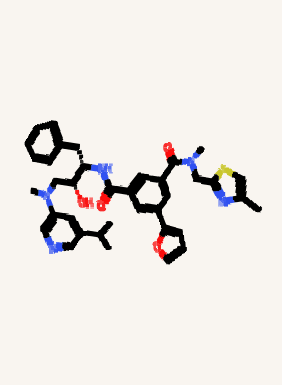 Cc1csc(CN(C)C(=O)c2cc(C(=O)N[C@@H](Cc3ccccc3)[C@H](O)CN(C)c3cncc(C(C)C)c3)cc(-c3ccco3)c2)n1